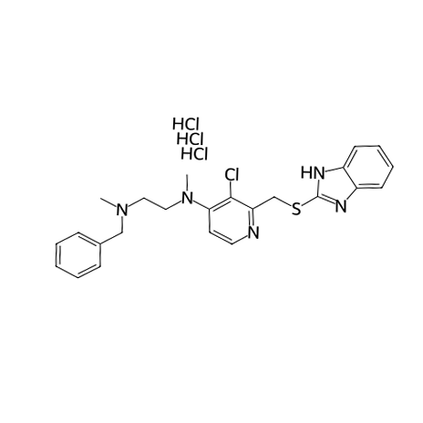 CN(CCN(C)c1ccnc(CSc2nc3ccccc3[nH]2)c1Cl)Cc1ccccc1.Cl.Cl.Cl